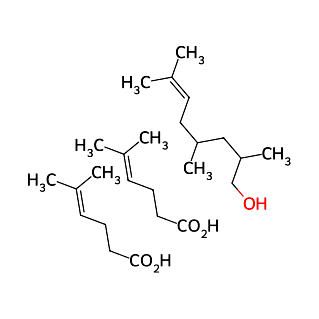 CC(C)=CCC(C)CC(C)CO.CC(C)=CCCC(=O)O.CC(C)=CCCC(=O)O